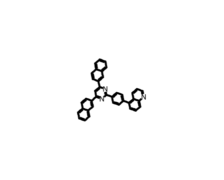 c1ccc2cc(-c3cc(-c4ccc5ccccc5c4)nc(-c4ccc(-c5cccc6ncccc56)cc4)n3)ccc2c1